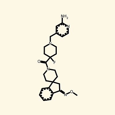 CO/N=C1\CC2(CCN(C(=O)C3(F)CCN(Cc4ccnc(N)c4)CC3)CC2)c2ccccc21